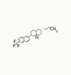 CCCC[C@@H]1CC[C@@H]2CC(c3ccc4cc(C(F)(F)F)ccc4c3)CCC2C1